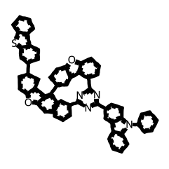 c1ccc(-c2nc(-c3ccc4c(c3)c3ccccc3n4-c3ccccc3)nc(-c3cccc4oc5ccc(-c6cccc7oc8ccc(-c9ccc%10c(c9)sc9ccccc9%10)cc8c67)cc5c34)n2)cc1